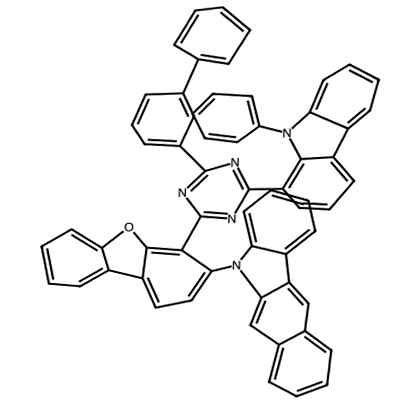 c1ccc(-c2cccc(-c3nc(-c4c(-n5c6ccccc6c6cc7ccccc7cc65)ccc5c4oc4ccccc45)nc(-c4cccc5c6ccccc6n(-c6ccccc6)c45)n3)c2)cc1